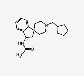 CC(=O)N[C@H]1CC2(CCN(CC3CCCC3)CC2)c2ccccc21